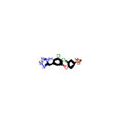 CS(=O)(=O)c1ccc(Oc2cc(Cl)cc(Cc3nnn[nH]3)c2)c(Cl)c1